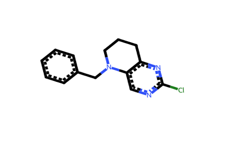 Clc1ncc2c(n1)CCCN2Cc1ccccc1